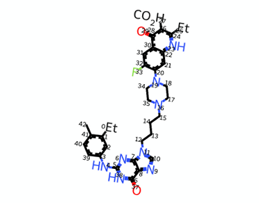 CCc1cc(Nc2nc3c(ncn3CCCCN3CCN(c4cc5[nH]c(CC)c(C(=O)O)c(=O)c5cc4F)CC3)c(=O)[nH]2)ccc1C